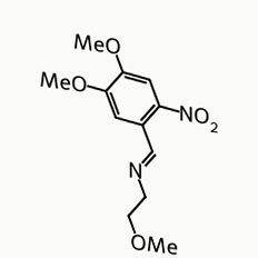 COCCN=Cc1cc(OC)c(OC)cc1[N+](=O)[O-]